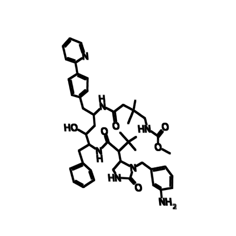 COC(=O)NCC(C)(C)CC(=O)NC(Cc1ccc(-c2ccccn2)cc1)CC(O)C(Cc1ccccc1)NC(=O)C(C1CNC(=O)N1Cc1cccc(N)c1)C(C)(C)C